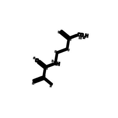 C=C(C)C(=O)NCCC(=C)C(=O)O